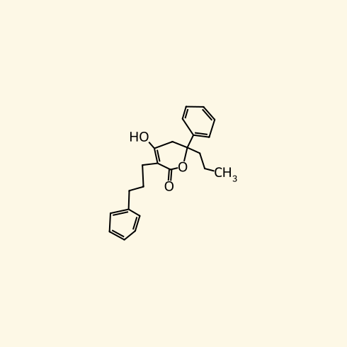 CCCC1(c2ccccc2)CC(O)=C(CCCc2ccccc2)C(=O)O1